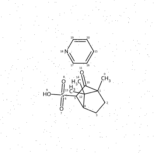 CC12CCC(C(S(=O)(=O)O)C1=O)C2(C)C.c1ccncc1